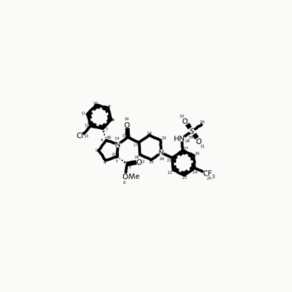 COC(=O)[C@@H]1CC[C@H](c2ccccc2Cl)N1C(=O)C1CCN(c2ccc(C(F)(F)F)cc2NS(C)(=O)=O)CC1